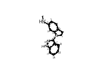 CNc1ccc2ccn(-c3n[nH]c4ccccc34)c2c1